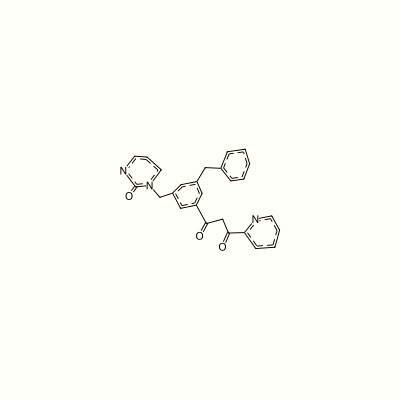 O=C(CC(=O)c1ccccn1)c1cc(Cc2ccccc2)cc(Cn2cccnc2=O)c1